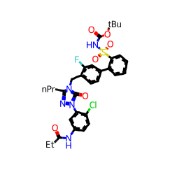 CCCc1nn(-c2cc(NC(=O)CC)ccc2Cl)c(=O)n1Cc1ccc(-c2ccccc2S(=O)(=O)NC(=O)OC(C)(C)C)cc1F